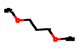 CCCCO[CH]CCOCCC